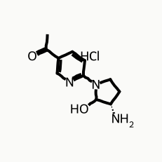 CC(=O)c1ccc(N2CC[C@H](N)C2O)nc1.Cl